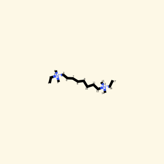 CC[N+](C)(C)CCCCCCCC[N+](C)(C)CC